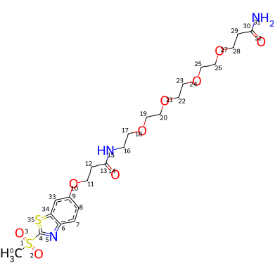 CS(=O)(=O)c1nc2ccc(OCCC(=O)NCCOCCOCCOCCOCCC(N)=O)cc2s1